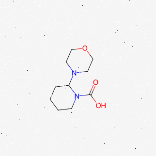 O=C(O)N1CCCCC1N1CCOCC1